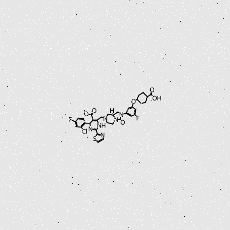 COC(=O)C1=C(CN2CCN3C(=O)N(c4cc(F)cc(OC5CCC(C(=O)O)CC5)c4)C[C@@H]3C2)NC(c2nccs2)=N[C@H]1c1ccc(F)cc1Cl